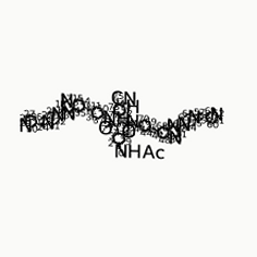 CC(=O)Nc1ccc(C(C(=O)Nc2ccc(-c3ccc4ncc(N5CCN(Cc6cccnc6)CC5)nc4c3)cc2)C(C(=O)Nc2ccc(-c3ccc4ncc(N5CCN(Cc6cccnc6)CC5)nc4c3)cc2)c2ccc(C#N)cc2)cc1